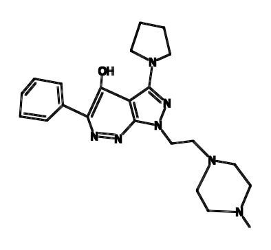 CN1CCN(CCn2nc(N3CCCC3)c3c(O)c(-c4ccccc4)nnc32)CC1